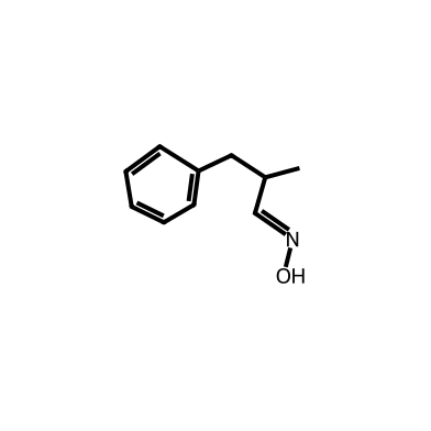 CC(/C=N/O)Cc1ccccc1